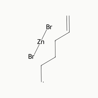 [Br][Zn][Br].[CH2]CCCC=C